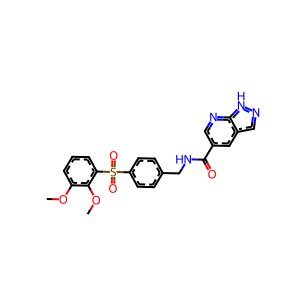 COc1cccc(S(=O)(=O)c2ccc(CNC(=O)c3cnc4[nH]ncc4c3)cc2)c1OC